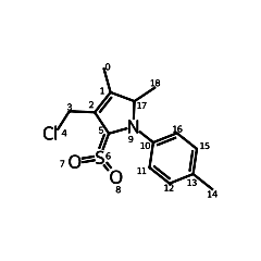 CC1=C(CCl)C(=S(=O)=O)N(c2ccc(C)cc2)C1C